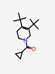 CC(C)(C)C1=C(C(C)(C)C)CN(C(=O)C2CC2)CC1